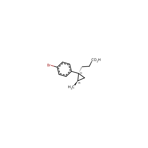 C[C@@H]1C[C@]1(CCC(=O)O)c1ccc(Br)cc1